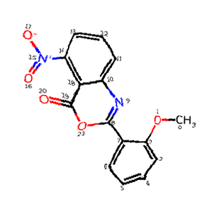 COc1ccccc1-c1nc2cccc([N+](=O)[O-])c2c(=O)o1